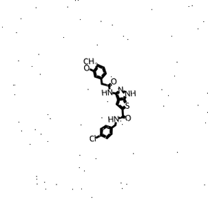 COc1cccc(CC(=O)Nc2n[nH]c3sc(C(=O)NCc4ccc(Cl)cc4)cc23)c1